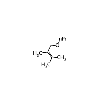 [CH2]CCOCC(C)=C(C)C